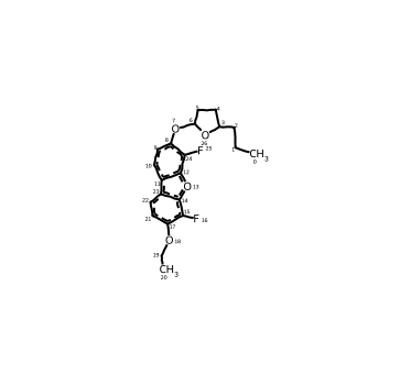 CCCC1CCC(Oc2ccc3c(oc4c(F)c(OCC)ccc43)c2F)O1